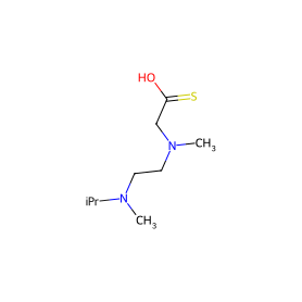 CC(C)N(C)CCN(C)CC(O)=S